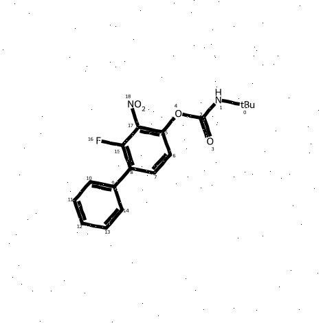 CC(C)(C)NC(=O)Oc1ccc(-c2ccccc2)c(F)c1[N+](=O)[O-]